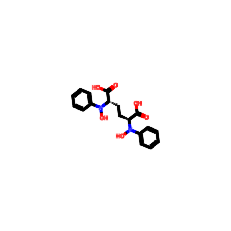 O=C(O)[C@H](CC[C@@H](C(=O)O)N(O)c1ccccc1)N(O)c1ccccc1